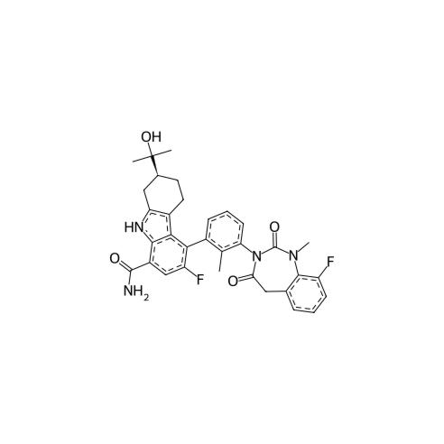 Cc1c(-c2c(F)cc(C(N)=O)c3[nH]c4c(c23)CC[C@H](C(C)(C)O)C4)cccc1N1C(=O)Cc2cccc(F)c2N(C)C1=O